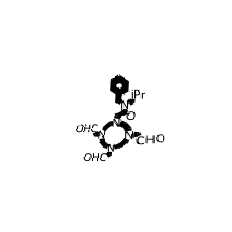 CC(C)CN(Cc1ccccc1)C(=O)CN1CCN(CC=O)CCN(CC=O)CCN(CC=O)CC1